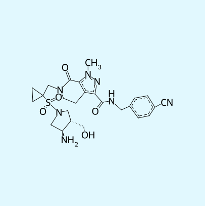 Cn1nc(C(=O)NCc2ccc(C#N)cc2)c2c1C(=O)N(CC1(S(=O)(=O)N3C[C@H](CO)[C@@H](N)C3)CC1)CC2